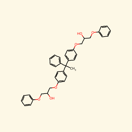 CC(c1ccccc1)(c1ccc(OCC(O)COc2ccccc2)cc1)c1ccc(OCC(O)COc2ccccc2)cc1